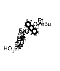 CCCCC(CC)COc1c2ccccc2c(OCC(F)(F)OC(F)(F)C(F)(F)OC(F)(F)C(F)(F)S(=O)(=O)O)c2ccccc12